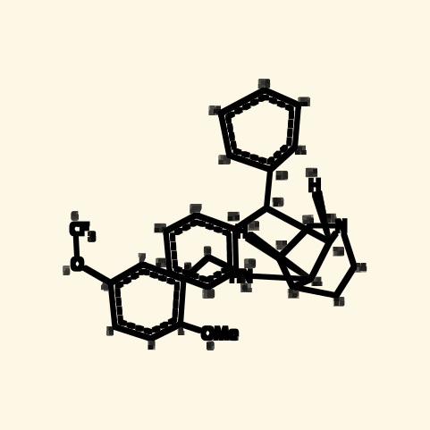 COc1ccc(OC(F)(F)F)cc1CN[C@H]1C2CCN(CC2)[C@H]1C(c1ccccc1)c1ccccc1